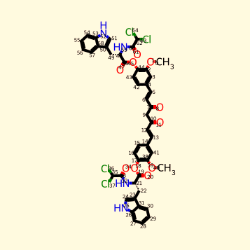 COc1cc(/C=C/C(=O)CC(=O)/C=C/c2ccc(OC(=O)[C@H](Cc3c[nH]c4ccccc34)NC(=O)C(Cl)Cl)c(OC)c2)ccc1OC(=O)[C@H](Cc1c[nH]c2ccccc12)NC(=O)C(Cl)Cl